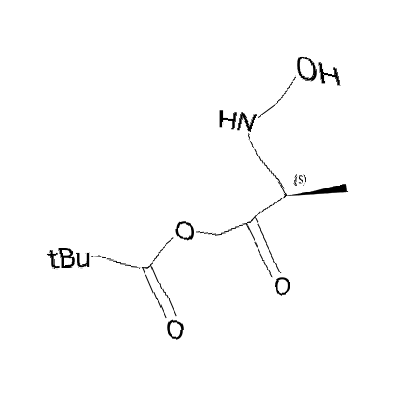 C[C@H](NO)C(=O)OC(=O)C(C)(C)C